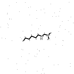 CCCCCCNCN(C)C